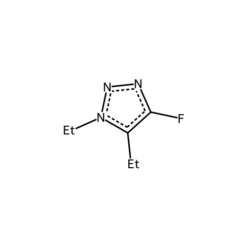 CCc1c(F)nnn1CC